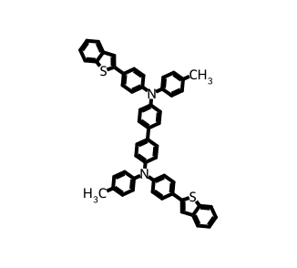 Cc1ccc(N(c2ccc(-c3ccc(N(c4ccc(C)cc4)c4ccc(-c5cc6ccccc6s5)cc4)cc3)cc2)c2ccc(-c3cc4ccccc4s3)cc2)cc1